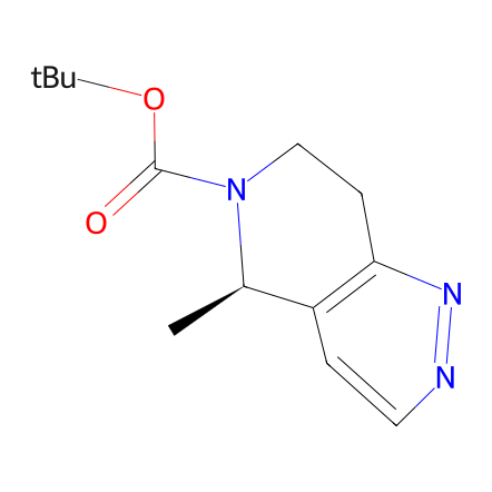 C[C@@H]1c2ccnnc2CCN1C(=O)OC(C)(C)C